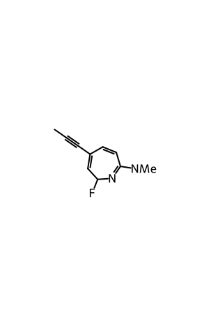 CC#CC1=CC(F)N=C(NC)C=C1